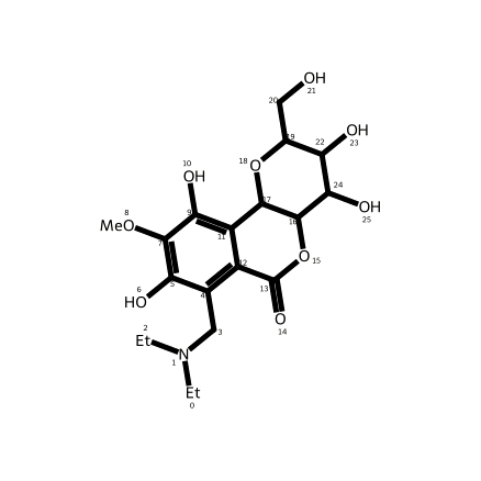 CCN(CC)Cc1c(O)c(OC)c(O)c2c1C(=O)OC1C2OC(CO)C(O)C1O